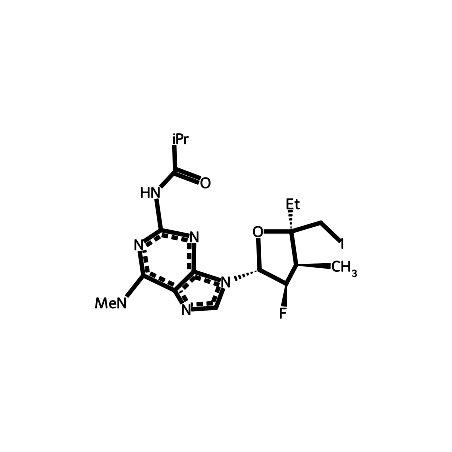 CC[C@@]1(CI)O[C@@H](n2cnc3c(NC)nc(NC(=O)C(C)C)nc32)[C@H](F)[C@@H]1C